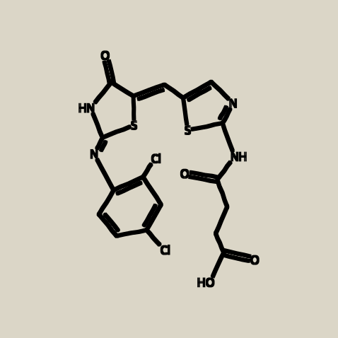 O=C(O)CCC(=O)Nc1ncc(C=C2SC(=Nc3ccc(Cl)cc3Cl)NC2=O)s1